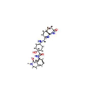 Cn1ccc2cccc(NC(=O)[C@]3(O)CC[C@@H](NCc4ccc5c(n4)NC(=O)CS5)CC3)c2c1=O